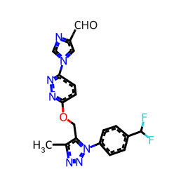 Cc1nnn(-c2ccc(C(F)F)cc2)c1COc1ccc(-n2cnc(C=O)c2)nn1